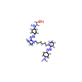 CN(C)c1ccc(N=Nc2cccc[n+]2CCCCCC[n+]2ccn(C)c2N=Nc2ccc(NCCO)cc2)cc1